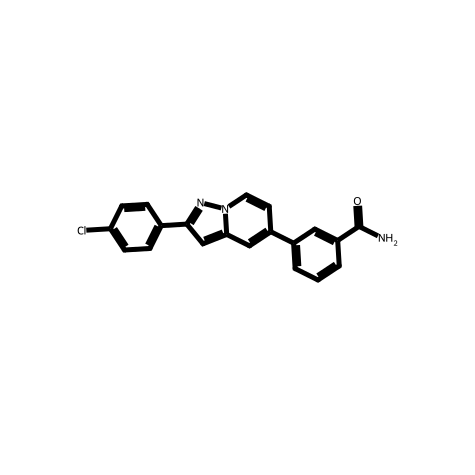 NC(=O)c1cccc(-c2ccn3nc(-c4ccc(Cl)cc4)cc3c2)c1